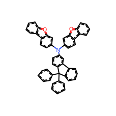 c1ccc(C2(c3ccccc3)c3ccccc3-c3cc(N(c4ccc5c(c4)oc4ccccc45)c4ccc5c(c4)oc4ccccc45)ccc32)cc1